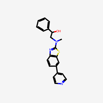 CN(CC(O)c1ccccc1)c1nc2ccc(-c3ccncc3)cc2s1